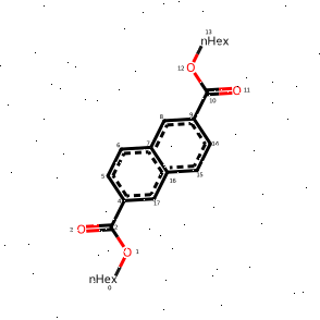 CCCCCCOC(=O)c1ccc2cc(C(=O)OCCCCCC)ccc2c1